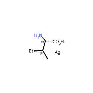 CC[C@H](C)[C@H](N)C(=O)O.[Ag]